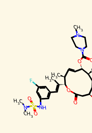 C/C(=C\c1cc(F)cc(NS(=O)(=O)N(C)C)c1)[C@H]1OC(=O)C[C@H](O)CC[C@H](C)[C@@H](OC(=O)N2CCN(C)CC2)/C=C/[C@@H]1C